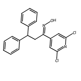 ON=C(CC(c1ccccc1)c1ccccc1)c1cc(Cl)nc(Cl)c1